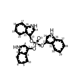 O=P(Oc1c[nH]c2ccccc12)(Oc1c[nH]c2ccccc12)Oc1c[nH]c2ccccc12